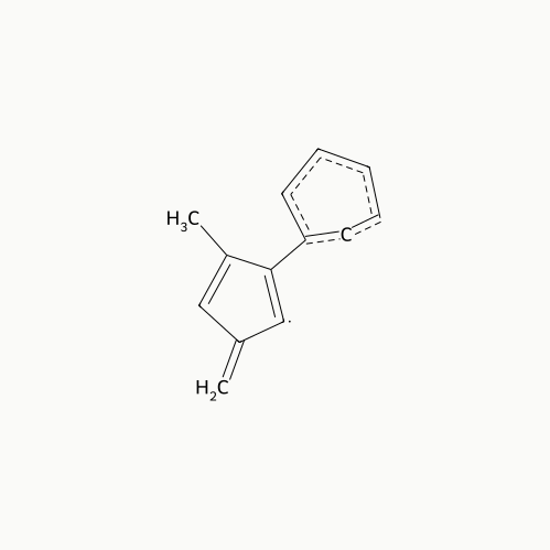 C=C1[C]=C(c2ccccc2)C(C)=C1